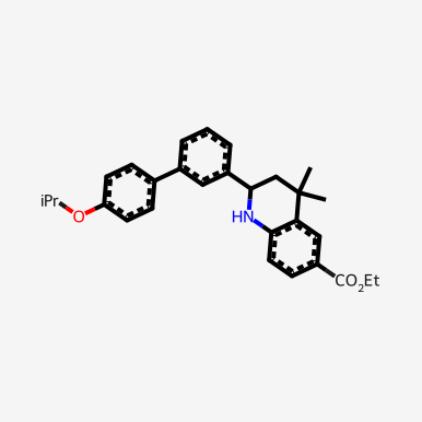 CCOC(=O)c1ccc2c(c1)C(C)(C)CC(c1cccc(-c3ccc(OC(C)C)cc3)c1)N2